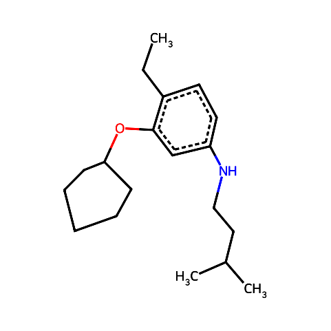 CCc1ccc(NCCC(C)C)cc1OC1CCCCC1